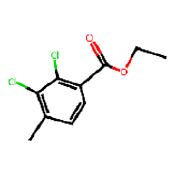 CCOC(=O)c1ccc(C)c(Cl)c1Cl